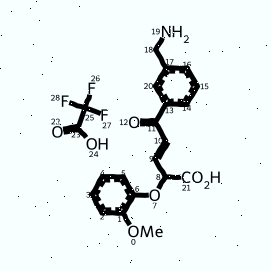 COc1ccccc1OC(C=CC(=O)c1cccc(CN)c1)C(=O)O.O=C(O)C(F)(F)F